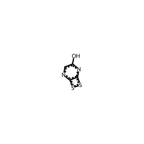 Oc1cnc2ssc2n1